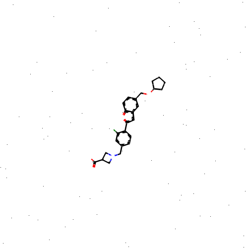 O=C(O)C1CN(Cc2ccc(-c3cc4cc(COC5CCCC5)ccc4o3)c(F)c2)C1